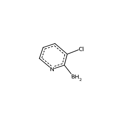 Bc1ncccc1Cl